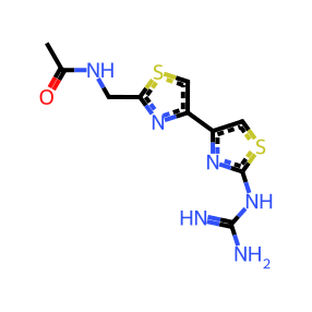 CC(=O)NCc1nc(-c2csc(NC(=N)N)n2)cs1